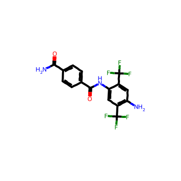 NC(=O)c1ccc(C(=O)Nc2cc(C(F)(F)F)c(N)cc2C(F)(F)F)cc1